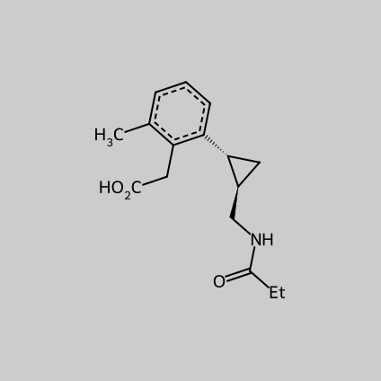 CCC(=O)NC[C@@H]1C[C@H]1c1cccc(C)c1CC(=O)O